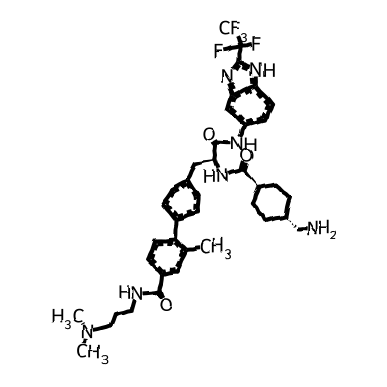 Cc1cc(C(=O)NCCCN(C)C)ccc1-c1ccc(C[C@H](NC(=O)[C@H]2CC[C@H](CN)CC2)C(=O)Nc2ccc3[nH]c(C(F)(F)C(F)(F)F)nc3c2)cc1